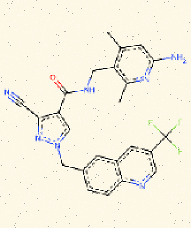 Cc1cc(N)nc(C)c1CNC(=O)c1cn(Cc2ccc3ncc(C(F)(F)F)cc3c2)nc1C#N